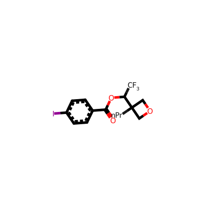 CCCC1(C(OC(=O)c2ccc(I)cc2)C(F)(F)F)COC1